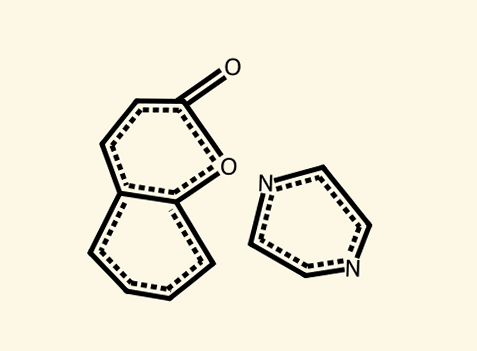 O=c1ccc2ccccc2o1.c1cnccn1